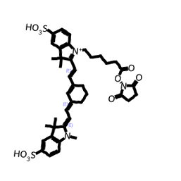 CN1/C(=C/C=C2C=C(/C=C/C3=[N+](CCCCCC(=O)ON4C(=O)CCC4=O)c4ccc(S(=O)(=O)O)cc4C3(C)C)CCC/2)C(C)(C)c2cc(S(=O)(=O)O)ccc21